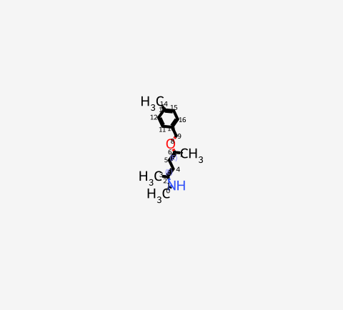 CN/C(C)=C/C=C(\C)OCc1ccc(C)cc1